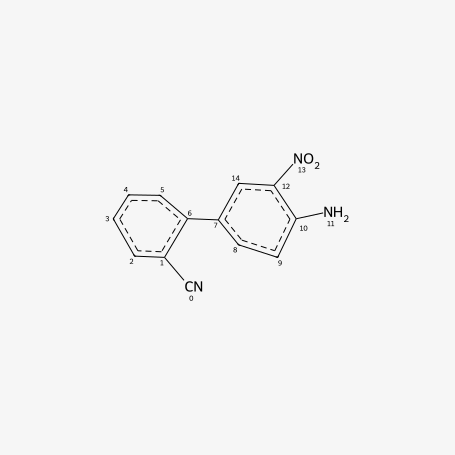 N#Cc1ccccc1-c1ccc(N)c([N+](=O)[O-])c1